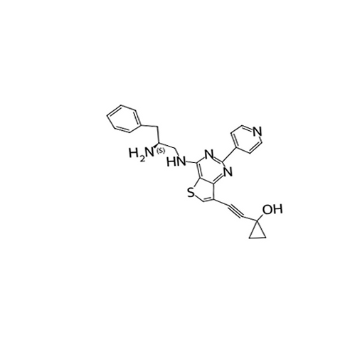 N[C@H](CNc1nc(-c2ccncc2)nc2c(C#CC3(O)CC3)csc12)Cc1ccccc1